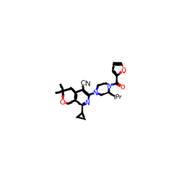 CC(C)C1CN(c2nc(C3CC3)c3c(c2C#N)CC(C)(C)OC3)CCN1C(=O)c1ccco1